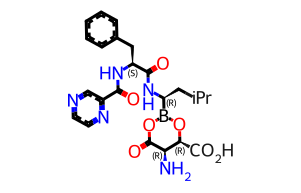 CC(C)C[C@H](NC(=O)[C@H](Cc1ccccc1)NC(=O)c1cnccn1)B1OC(=O)[C@H](N)[C@H](C(=O)O)O1